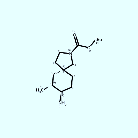 C[C@@H]1C[C@]2(CC[C@H]1N)CCN(C(=O)OC(C)(C)C)C2